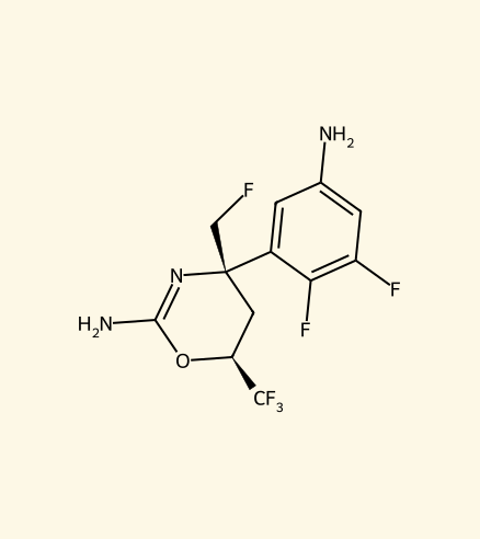 NC1=N[C@](CF)(c2cc(N)cc(F)c2F)C[C@@H](C(F)(F)F)O1